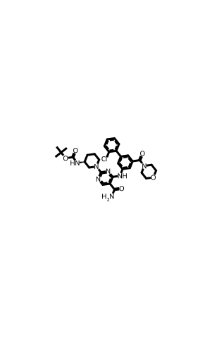 CC(C)(C)OC(=O)N[C@H]1CCCN(c2ncc(C(N)=O)c(Nc3cc(C(=O)N4CCOCC4)cc(-c4ccccc4Cl)c3)n2)C1